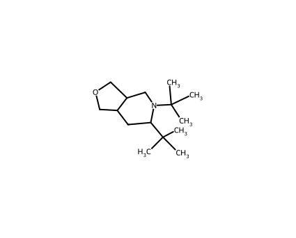 CC(C)(C)C1CC2COCC2CN1C(C)(C)C